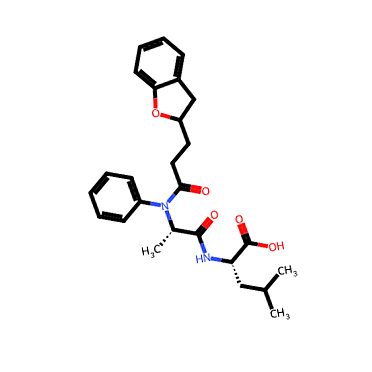 CC(C)C[C@H](NC(=O)[C@H](C)N(C(=O)CCC1Cc2ccccc2O1)c1ccccc1)C(=O)O